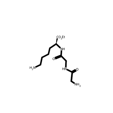 CCOC(=O)[C@H](CCCCN)NC(=O)CNC(=O)CN